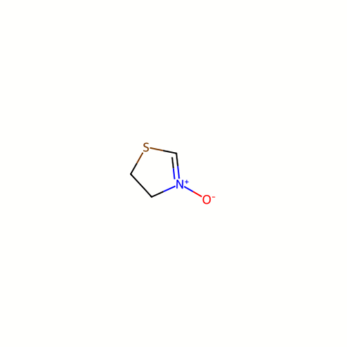 [O-][N+]1=CSCC1